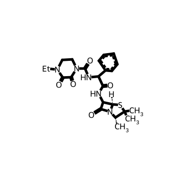 CCN1CCN(C(=O)NC(C(=O)NC2C(=O)N3[C@@H]2SC(C)(C)[C@@H]3C)c2ccccc2)C(=O)C1=O